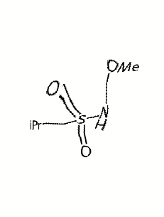 CONS(=O)(=O)C(C)C